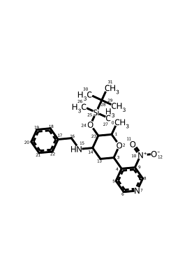 CC1OC(c2ccncc2[N+](=O)[O-])CC(NCc2ccccc2)C1O[Si](C)(C)C(C)(C)C